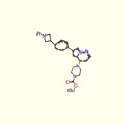 CC(C)N1CC(c2ccc(-c3cc4c(N5CCN(C(=O)OC(C)(C)C)CC5)ccnn4c3)cc2)C1